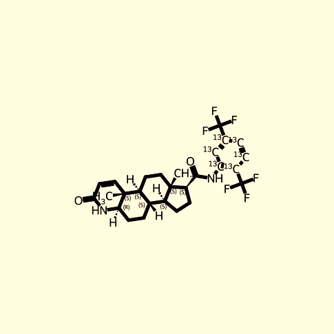 C[C@]12C=CC(=O)N[C@@H]1CC[C@@H]1[C@@H]2CC[C@]2(C)[C@@H](C(=O)N[13c]3[13cH][13c](C(F)(F)F)[13cH][13cH][13c]3C(F)(F)F)CC[C@@H]12